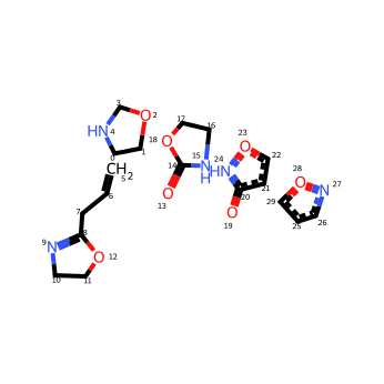 C1COCN1.C=CCC1=NCCO1.O=C1NCCO1.O=c1cco[nH]1.c1cnoc1